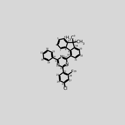 CC1(C)c2ccccc2-c2c(-c3nc(-c4ccccc4)nc(-c4ccc(Cl)cc4F)n3)cccc21